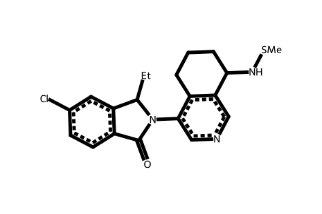 CCC1c2cc(Cl)ccc2C(=O)N1c1cncc2c1CCCC2NSC